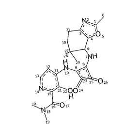 Cc1nc2c(o1)C(Nc1c(Nc3ccnc(C(=O)N(C)C)c3O)c(=O)c1=O)C(C)(C)CC2